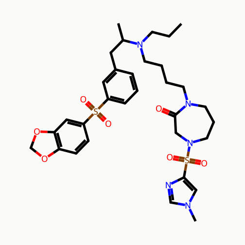 CCCN(CCCCN1CCCN(S(=O)(=O)c2cn(C)cn2)CC1=O)C(C)Cc1cccc(S(=O)(=O)c2ccc3c(c2)OCO3)c1